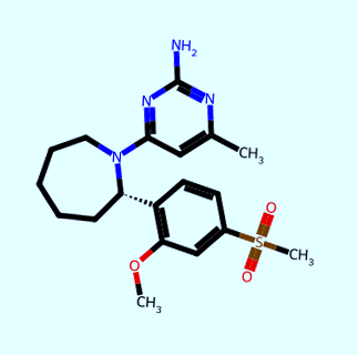 COc1cc(S(C)(=O)=O)ccc1[C@@H]1CCCCCN1c1cc(C)nc(N)n1